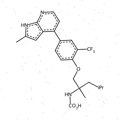 Cc1cc2c(-c3ccc(OCC(C)(CC(C)C)NC(=O)O)c(C(F)(F)F)c3)ccnc2[nH]1